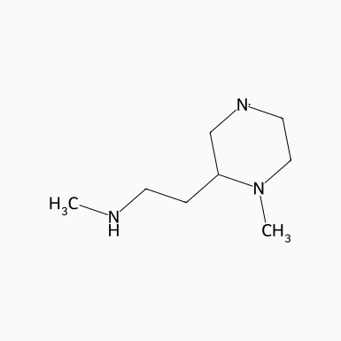 CNCCC1C[N]CCN1C